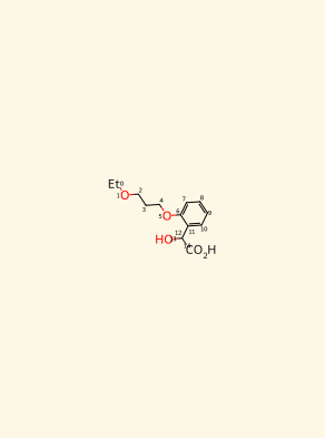 CCOCCCOc1ccccc1C(O)C(=O)O